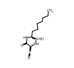 CCCCCCCC1=NNC(=C=O)C(=O)N1.Cl